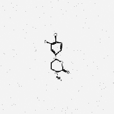 C[C@@H]1CC[C@H](c2ccc(Cl)c(F)c2)OC1=O